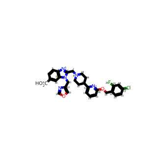 O=C(O)c1ccc2nc(CN3CCC(c4cccc(OCc5ccc(Cl)cc5F)n4)CC3)n(Cc3cocn3)c2c1